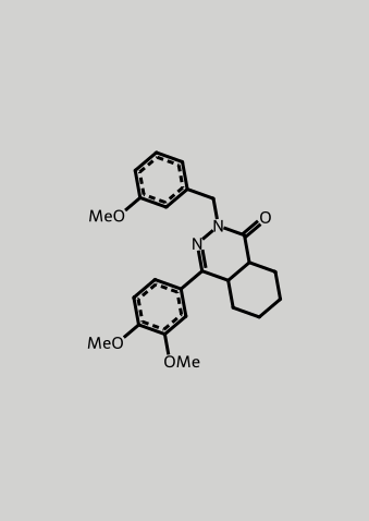 COc1cccc(CN2N=C(c3ccc(OC)c(OC)c3)C3CCCCC3C2=O)c1